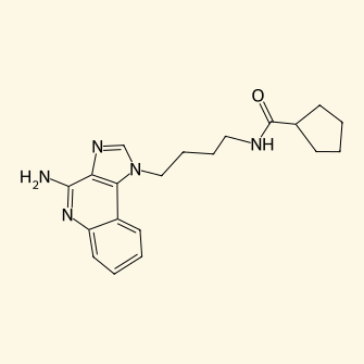 Nc1nc2ccccc2c2c1ncn2CCCCNC(=O)C1CCCC1